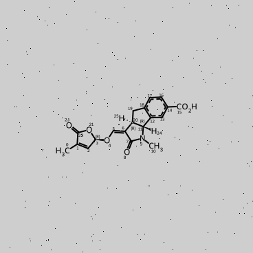 CC1=C[C@H](OC=C2C(=O)N(C)[C@H]3c4cc(C(=O)O)ccc4C[C@H]23)OC1=O